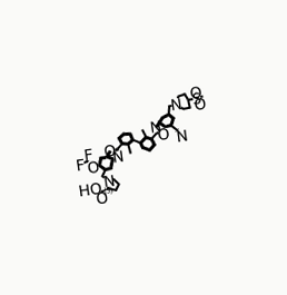 Cc1c(-c2nc3cc(CN4CCC[C@H]4C(=O)O)c(OC(F)F)cc3o2)cccc1-c1cccc(-c2nc3cc(CN4CCC(S(C)(=O)=O)CC4)cc(C#N)c3o2)c1C